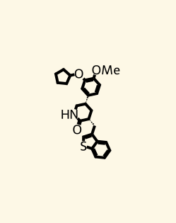 COc1ccc([C@H]2CNC(=O)[C@@H](Cc3csc4ccccc34)C2)cc1OC1CCCC1